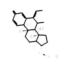 CC=C1C2=CC(=O)C=C[C@]2(C)[C@H]2CC[C@]3(C)[C@@H](OS(=O)(=O)O)CC[C@H]3[C@@H]2C1C